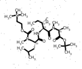 CC[C@H](C)[C@H](NC(=O)[C@H](CC(C)C)N(C)C(=O)OCC[Si](C)(C)C)C(=O)N(C)[C@@H](C)C(=O)OC(C)(C)C